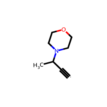 [C]#CC(C)N1CCOCC1